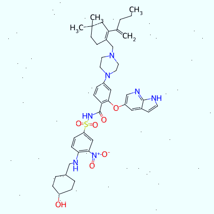 C=C(CCC)C1=C(CN2CCN(c3ccc(C(=O)NS(=O)(=O)c4ccc(NCC5CCC(O)CC5)c([N+](=O)[O-])c4)c(Oc4cnc5[nH]ccc5c4)c3)CC2)CCC(C)(C)C1